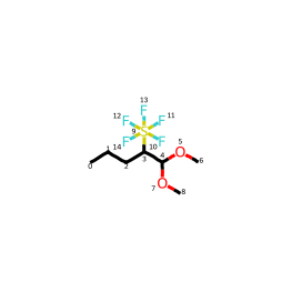 CCCC(C(OC)OC)S(F)(F)(F)(F)F